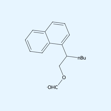 CCCCC(CO[C]=O)c1cccc2ccccc12